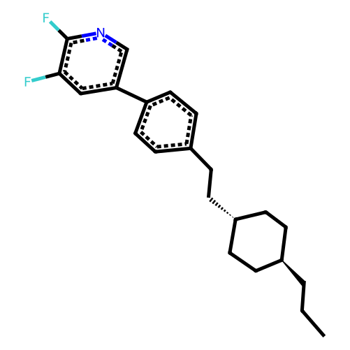 CCC[C@H]1CC[C@H](CCc2ccc(-c3cnc(F)c(F)c3)cc2)CC1